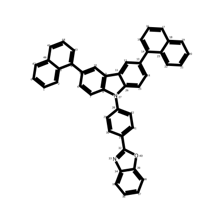 c1ccc2c(-c3ccc4c(c3)c3cc(-c5cccc6ccccc56)ccc3n4-c3ccc(-c4nc5ccccc5o4)cc3)cccc2c1